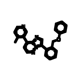 Cc1ccncc1-c1ccnn2c(-c3ccccc3COc3ccccc3)cnc12